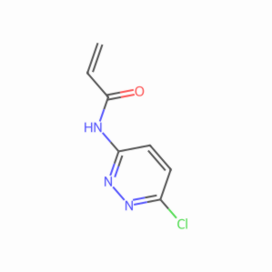 C=CC(=O)Nc1ccc(Cl)nn1